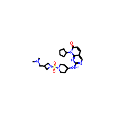 CN(C)CC1CN(S(=O)(=O)N2CCC(Nc3ncc4ccc(=O)n(C5CCCC5)c4n3)CC2)C1